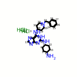 Cl.Cl.Cl.N[C@H]1CC[C@H](Nc2nc3ncnc-3c(NC3CCN(Cc4ccccc4)CC3)[nH]2)CC1